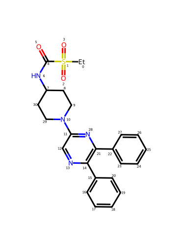 CCS(=O)(=O)C(=O)NC1CCN(c2cnc(-c3ccccc3)c(-c3ccccc3)n2)CC1